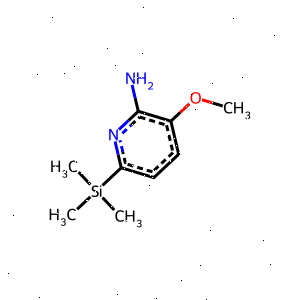 COc1ccc([Si](C)(C)C)nc1N